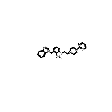 Cc1c(Cn2cnc3ccccc32)cccc1SCCN1CCN(c2ncccn2)CC1